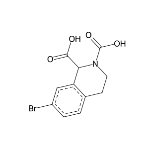 O=C(O)C1c2cc(Br)ccc2CCN1C(=O)O